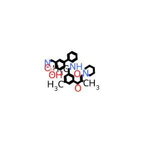 Cc1cc([C@H](C)Nc2ccccc2-c2ccc3c(c2)C=NOB3O)c2oc(N3CCCCC3)c(C)c(=O)c2c1